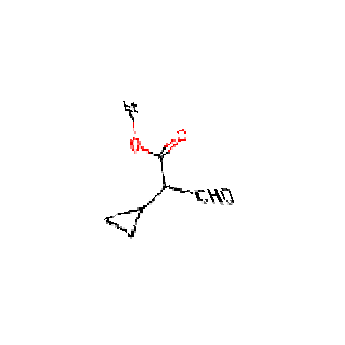 CCOC(=O)C(C=O)C1CC1